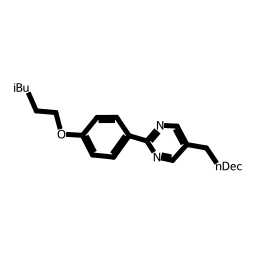 CCCCCCCCCCCc1cnc(-c2ccc(OCCC(C)CC)cc2)nc1